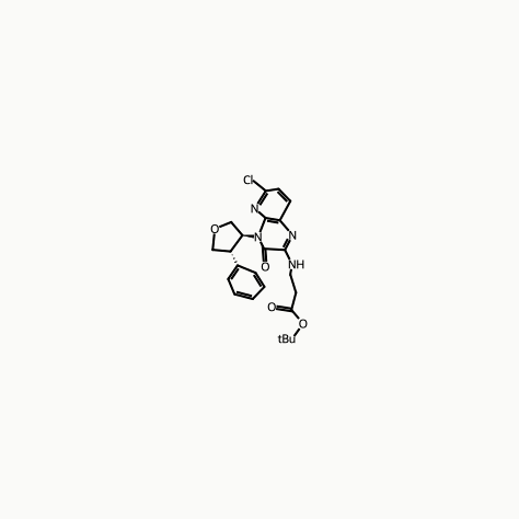 CC(C)(C)OC(=O)CCNc1nc2ccc(Cl)nc2n([C@@H]2COC[C@H]2c2ccccc2)c1=O